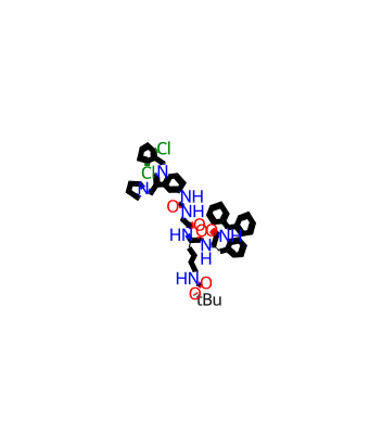 CC(C)(C)OC(=O)NCCCC[C@H](NC(=O)CNC(=O)Nc1ccc2c(c1)c(CN1CCCC1)cn2Cc1c(Cl)cccc1Cl)C(=O)N[C@@H](Cc1ccccc1)C(=O)NC(c1ccccc1)c1ccccc1